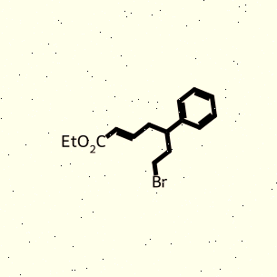 CCOC(=O)C=CCC(CCBr)c1ccccc1